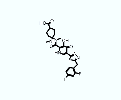 CNC1(N(C)C(=O)c2[nH]cc(-c3nnc(Cc4ccc(F)cc4F)s3)c(=O)c2O)CCC(C(=O)O)CC1